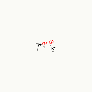 [K+].[O-2].[O-2].[Ti+4]